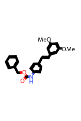 COc1cc(C=Cc2ccc(NC(=O)OCc3ccccc3)cc2)cc(OC)c1